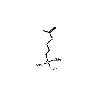 C=C(C)OCCC[Si](OC)(OC)OC